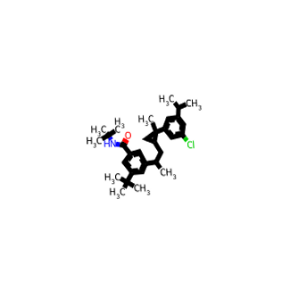 CC(C)c1cc(Cl)cc(C2(C)CC2CC(C)c2cc(C(=O)NC(C)(C)C)cc(C(C)(C)C)c2)c1